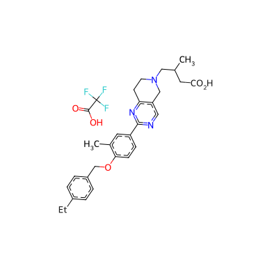 CCc1ccc(COc2ccc(-c3ncc4c(n3)CCN(CC(C)CC(=O)O)C4)cc2C)cc1.O=C(O)C(F)(F)F